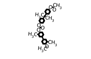 COc1ccc(-c2ccc(OC(=O)Oc3ccc(C(C)(C)c4ccc(OC(C)=O)cc4)cc3)c(C)c2)cc1C